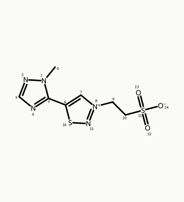 Cn1ncnc1-c1c[n+](CCS(=O)(=O)[O-])ns1